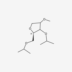 COC1CO[C@H](COC(C)C)C1OC(C)C